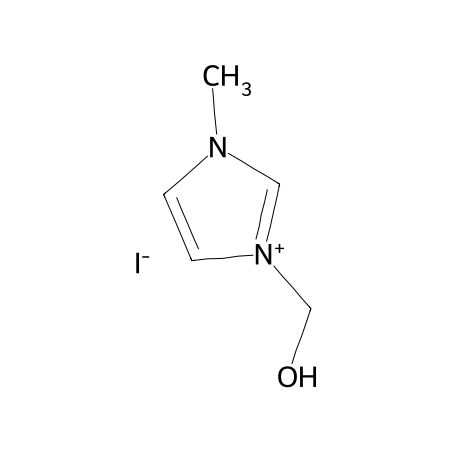 Cn1cc[n+](CO)c1.[I-]